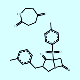 Cc1cccc(CC2CN3C(=O)CC3(S(=O)(=O)c3ccc(Cl)cc3)C2=O)c1.O=C1CCNC(=O)CC1